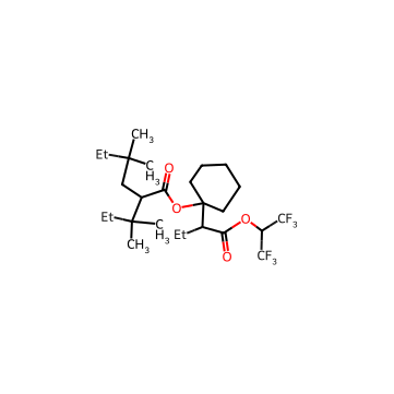 CCC(C(=O)OC(C(F)(F)F)C(F)(F)F)C1(OC(=O)C(CC(C)(C)CC)C(C)(C)CC)CCCCC1